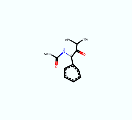 CCCCC(CCC)C(=O)[C@@H](NC(=O)OC)c1ccccc1